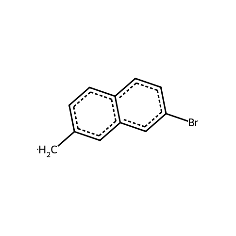 [CH2]c1ccc2ccc(Br)cc2c1